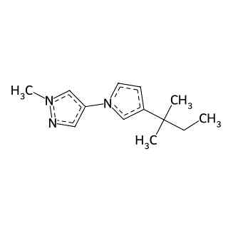 CCC(C)(C)c1ccn(-c2cnn(C)c2)c1